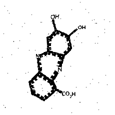 O=C(O)c1cccc2nc3cc(O)c(O)cc3nc12